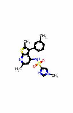 Cc1cccc(-c2c(C)sc3nc(C)cc(NS(=O)(=O)c4cn(C)cn4)c23)c1